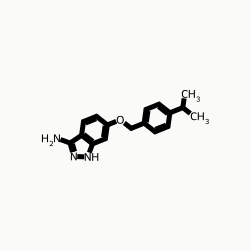 CC(C)c1ccc(COc2ccc3c(N)n[nH]c3c2)cc1